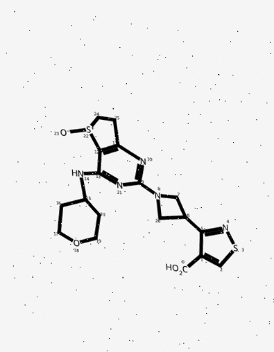 O=C(O)c1csnc1C1CN(c2nc3c(c(NC4CCOCC4)n2)[S+]([O-])CC3)C1